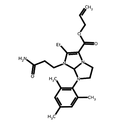 C=CCOC(=O)C1=C(CC)N(CCC(N)=O)C2N1CCN2c1c(C)cc(C)cc1C